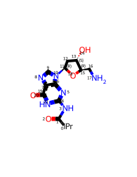 CC(C)C(=O)Nc1nc2c(ncn2[C@H]2C[C@H](O)[C@@H](CN)O2)c(=O)[nH]1